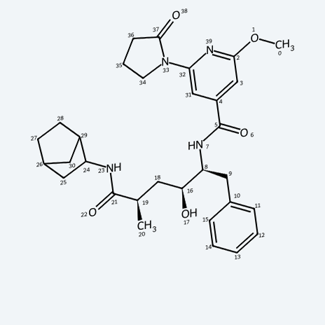 COc1cc(C(=O)N[C@@H](Cc2ccccc2)[C@@H](O)C[C@@H](C)C(=O)NC2CC3CCC2C3)cc(N2CCCC2=O)n1